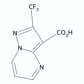 O=C(O)c1c(C(F)(F)F)nn2cccnc12